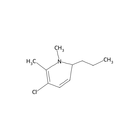 CCCC1C=CC(Cl)=C(C)N1C